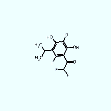 CC(C)c1c(O)c(Cl)c(O)c(C(=O)C(F)F)c1F